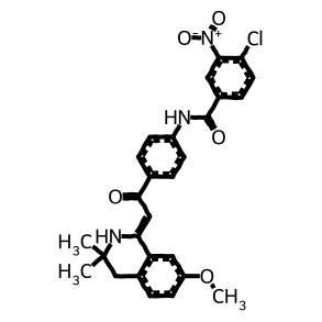 COc1ccc2c(c1)/C(=C/C(=O)c1ccc(NC(=O)c3ccc(Cl)c([N+](=O)[O-])c3)cc1)NC(C)(C)C2